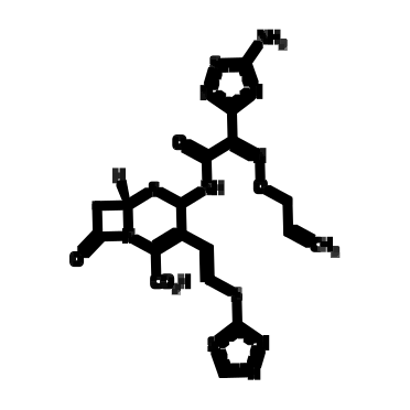 C=CCON=C(C(=O)NC1S[C@H]2CC(=O)N2C(C(=O)O)=C1C=CSc1nncs1)c1nsc(N)n1